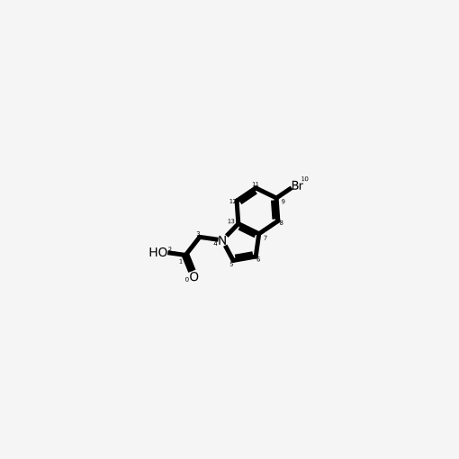 O=C(O)Cn1ccc2cc(Br)ccc21